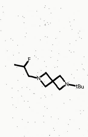 CC(F)CN1CC2(C1)CN(C(C)(C)C)C2